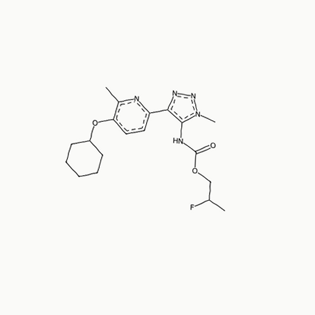 Cc1nc(-c2nnn(C)c2NC(=O)OCC(C)F)ccc1OC1CCCCC1